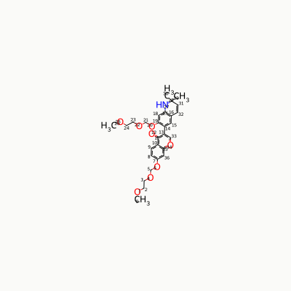 COCCOCOc1ccc2c(=O)c(-c3cc4c(cc3OCOCCOC)NC(C)(C)C=C4)coc2c1